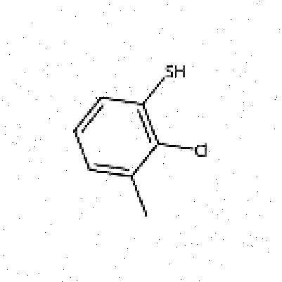 Cc1cc[c]c(S)c1Cl